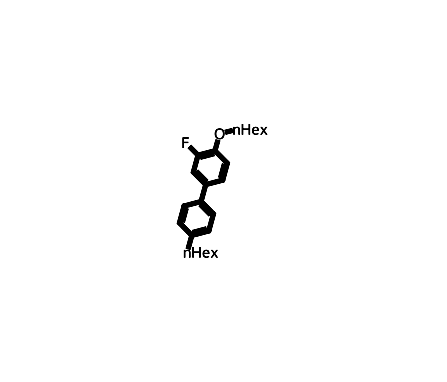 CCCCCCOc1ccc(-c2ccc(CCCCCC)cc2)cc1F